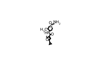 C[C@@H]1CN(C(=O)CN)CC[C@H]1NC(=O)c1cc(C2CC2)on1